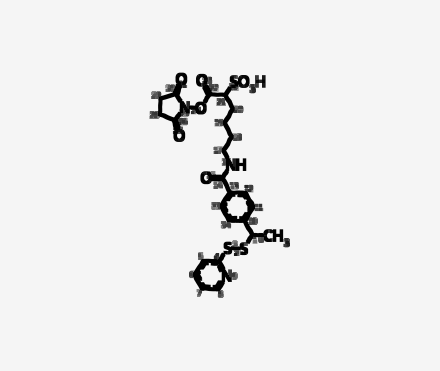 CC(SSc1ccccn1)c1ccc(C(=O)NCCCCC(C(=O)ON2C(=O)CCC2=O)S(=O)(=O)O)cc1